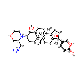 C[C@]12CC[C@H]3[C@@H](CC[C@]4(O)C[C@@H](N5CCOC[C@@H]5CN)CC[C@]34C)[C@@]1(O)CCC2c1ccc(=O)oc1